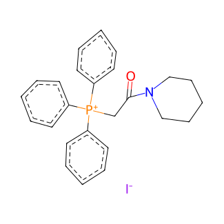 O=C(C[P+](c1ccccc1)(c1ccccc1)c1ccccc1)N1CCCCC1.[I-]